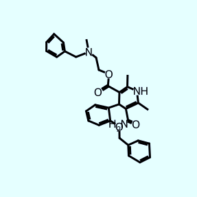 CC1=C(C(N)=O)C(c2ccccc2OCc2ccccc2)C(C(=O)OCCN(C)Cc2ccccc2)=C(C)N1